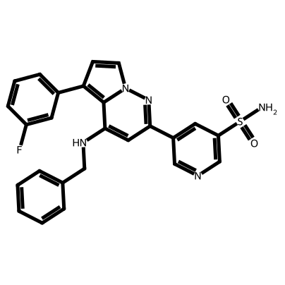 NS(=O)(=O)c1cncc(-c2cc(NCc3ccccc3)c3c(-c4cccc(F)c4)ccn3n2)c1